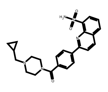 NS(=O)(=O)c1cccc2ccc(-c3ccc(C(=O)N4CCN(CC5CC5)CC4)cc3)nc12